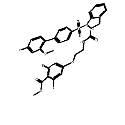 COC(=O)c1c(F)cc(OCCNC(=O)[C@@H]2Cc3ccccc3N2S(=O)(=O)c2ccc(-c3ccc(F)cc3OC)cc2)cc1F